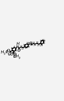 COC(=O)c1ccc(NC(=O)CCc2ccc(OCCCCCc3ccccc3)cc2)cc1C(=O)OC